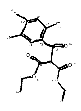 CCOC(=O)C(C(=O)OCC)C(=O)c1cc(F)c(F)cc1Cl